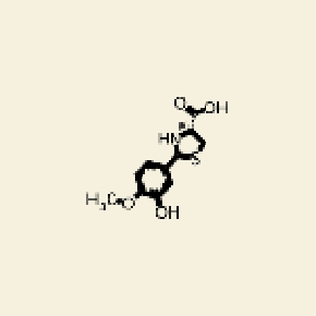 COc1ccc(C2N[C@H](C(=O)O)CS2)cc1O